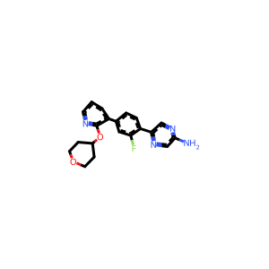 Nc1cnc(-c2ccc(-c3cccnc3OC3CCOCC3)cc2F)cn1